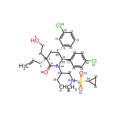 C=CC[C@]1(CCO)C[C@H](c2cccc(Cl)c2)[C@@H](c2ccc(Cl)cc2)N(C(CC)CN(C)S(=O)(=O)C2CC2)C1=O